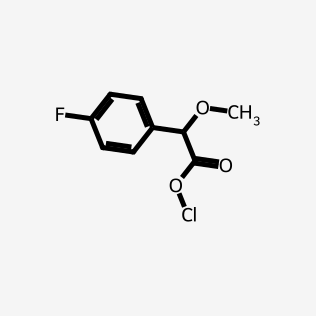 COC(C(=O)OCl)c1ccc(F)cc1